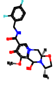 COc1c2n(cc(C(=O)NCc3ccc(F)cc3F)c1=O)C[C@H]1OC[C@H](C)N1C2O